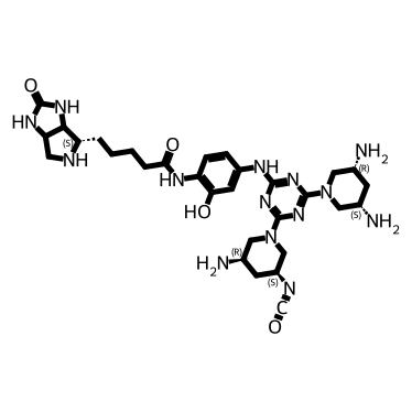 N[C@@H]1C[C@H](N)CN(c2nc(Nc3ccc(NC(=O)CCCC[C@@H]4NCC5NC(=O)NC54)c(O)c3)nc(N3C[C@H](N)C[C@H](N=C=O)C3)n2)C1